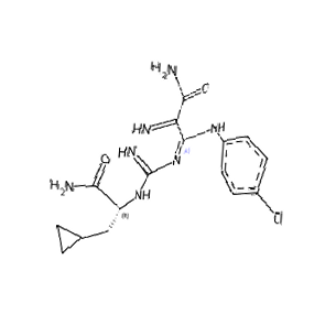 N=C(/N=C(/Nc1ccc(Cl)cc1)C(=N)C(N)=O)N[C@H](CC1CC1)C(N)=O